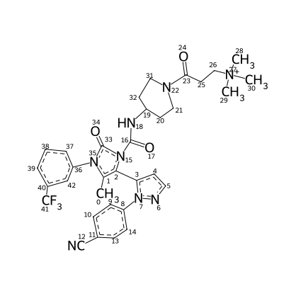 Cc1c(-c2ccnn2-c2ccc(C#N)cc2)n(C(=O)NC2CCN(C(=O)CC[N+](C)(C)C)CC2)c(=O)n1-c1cccc(C(F)(F)F)c1